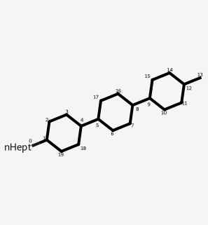 CCCCCCCC1CCC(C2CCC(C3CCC(C)CC3)CC2)CC1